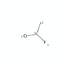 [CH2]C([O])F